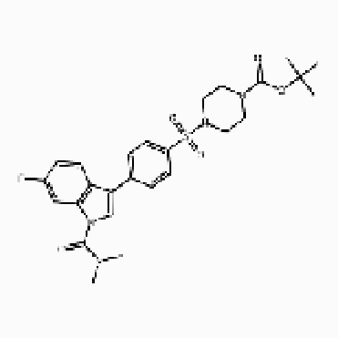 CN(C)C(=O)n1cc(-c2ccc(S(=O)(=O)N3CCN(C(=O)OC(C)(C)C)CC3)cc2)c2ccc(F)cc21